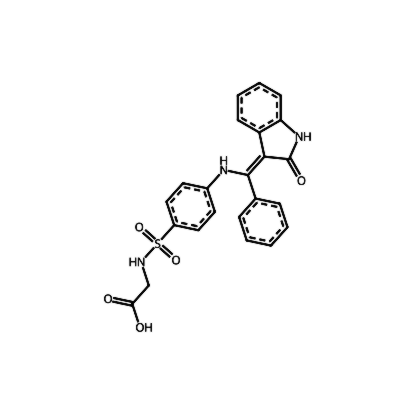 O=C(O)CNS(=O)(=O)c1ccc(NC(=C2C(=O)Nc3ccccc32)c2ccccc2)cc1